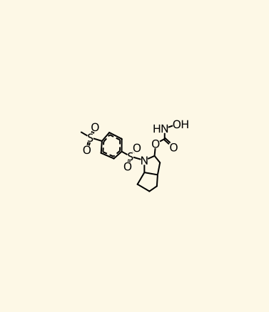 CS(=O)(=O)c1ccc(S(=O)(=O)N2C(OC(=O)NO)CC3CCCC32)cc1